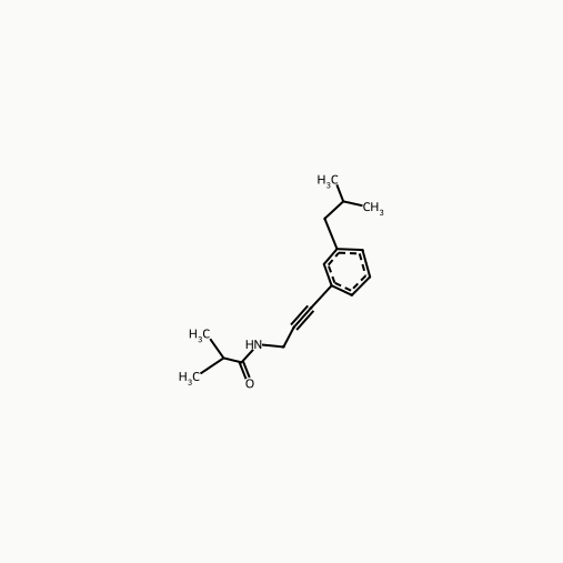 CC(C)Cc1cccc(C#CCNC(=O)C(C)C)c1